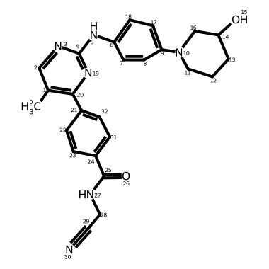 Cc1cnc(Nc2ccc(N3CCCC(O)C3)cc2)nc1-c1ccc(C(=O)NCC#N)cc1